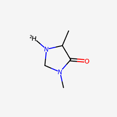 [2H]N1CN(C)C(=O)C1C